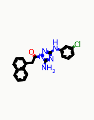 Nc1nc(Nc2cccc(Cl)c2)nn1C(=O)Cc1cccc2ccccc12